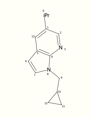 CC(C)c1cnc2c(ccn2CC2CC2)c1